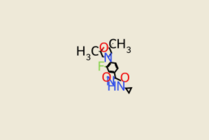 C[C@@H]1CN(c2ccc3c(C(=O)NC4CC4)noc3c2F)C[C@H](C)O1